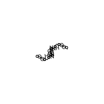 O=C(ON1CCN=C1Nc1ccc(Cc2ccc(OCCOC3CCCCC3)cc2)cc1)C(=O)ON1CCN=C1Nc1ccc(Cc2ccc(OCCOC3CCCCC3)cc2)cc1